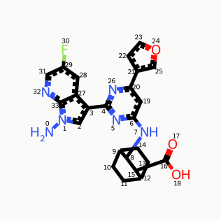 Nn1cc(-c2nc(NC3C4CCC(CC4)C3C(=O)O)cc(-c3ccoc3)n2)c2cc(F)cnc21